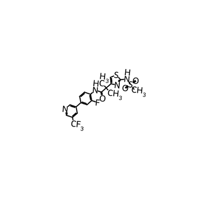 CC(C)(C(=O)Nc1ccc(-c2cncc(C(F)(F)F)c2)cc1F)c1csc(NS(C)(=O)=O)n1